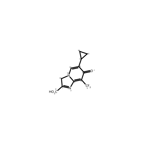 O=C(O)C1=Nc2c(C(F)(F)F)c(=O)c(C3CC3)cn2C1